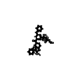 CN1N=C2CCN(C(=O)[C@@H](CCCc3ccccc3)NC(=O)C(C)(C)NC(=O)OC(C)(C)C)C[C@]2(Cc2ccccc2)C1=O